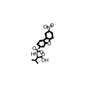 CC(C)C(NS(=O)(=O)c1ccc2c(c1)oc1ccc([N+](=O)[O-])cc12)C(=O)O